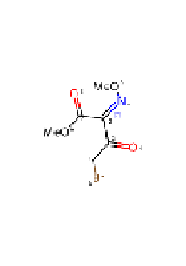 CO/N=C(/C(=O)CBr)C(=O)OC